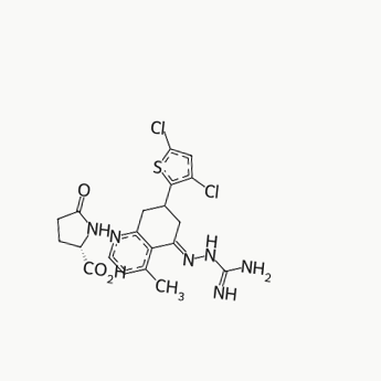 Cc1ccnc2c1C(=NNC(=N)N)CC(c1sc(Cl)cc1Cl)C2.O=C1CC[C@@H](C(=O)O)N1